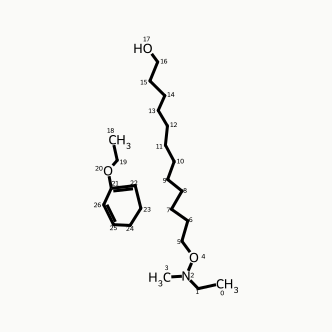 CCN(C)OCCCCCCCCCCCCO.CCOC1=CCCC=C1